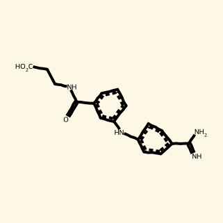 N=C(N)c1ccc(Nc2cccc(C(=O)NCCC(=O)O)c2)cc1